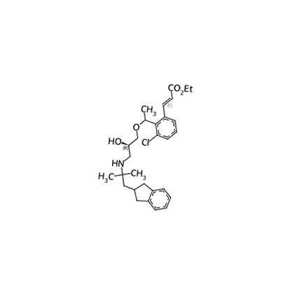 CCOC(=O)/C=C/c1cccc(Cl)c1C(C)OC[C@H](O)CNC(C)(C)CC1Cc2ccccc2C1